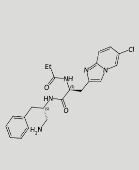 CCC(=O)N[C@@H](Cc1cn2cc(Cl)ccc2n1)C(=O)N[C@H](CN)Cc1ccccc1